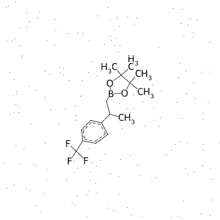 CC(CB1OC(C)(C)C(C)(C)O1)c1ccc(C(F)(F)F)cc1